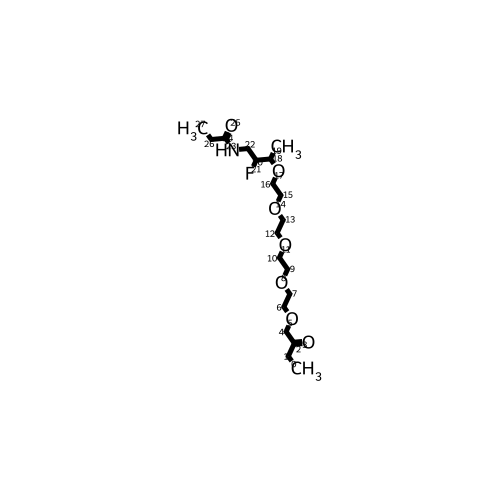 CCC(=O)COCCOCCOCCOCCOC(C)C(F)CNC(=O)CC